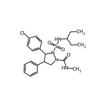 CCC(CC)NS(=O)(=O)N1C(c2ccc(Cl)cc2)C(c2ccccc2)CN1C(=O)NC